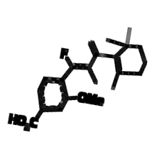 C=C(C1=C(C)CCCC1(C)C)/C(C)=C(\F)c1ccc(C(=O)O)cc1OC